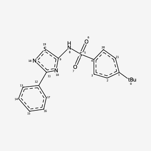 CC(C)(C)c1ccc(S(=O)(=O)Nc2nc(-c3ccccc3)ns2)cc1